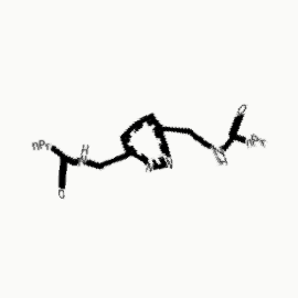 CCCC(=O)NCc1ccc(CNC(=O)CCC)nn1